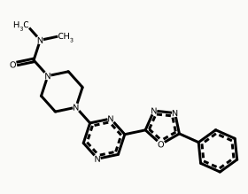 CN(C)C(=O)N1CCN(c2cncc(-c3nnc(-c4ccccc4)o3)n2)CC1